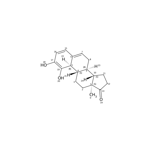 C[C@]12CC[C@@H]3[C@@H]4C(=CC[C@H]3[C@@H]1CCC2=O)C=CC(O)=C4O